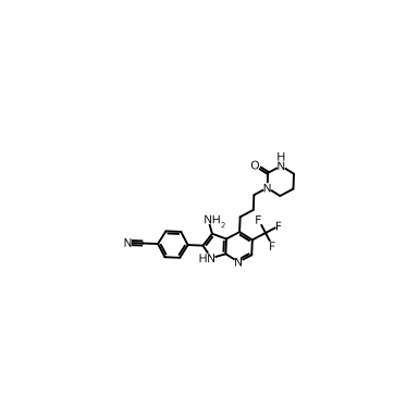 N#Cc1ccc(-c2[nH]c3ncc(C(F)(F)F)c(CCCN4CCCNC4=O)c3c2N)cc1